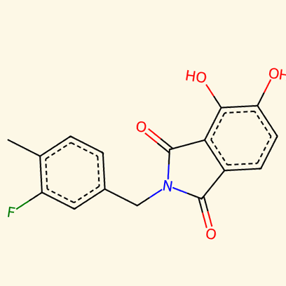 Cc1ccc(CN2C(=O)c3ccc(O)c(O)c3C2=O)cc1F